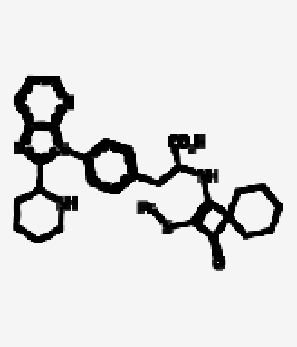 CC(C)SC1=C(N[C@@H](Cc2ccc(-n3c(C4CCCCN4)nc4cccnc43)cc2)C(=O)O)C2(CCCCC2)C1=O